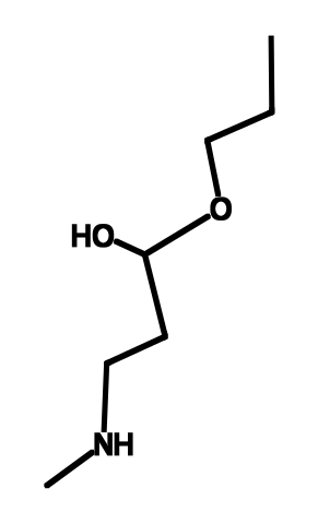 CCCOC(O)CCNC